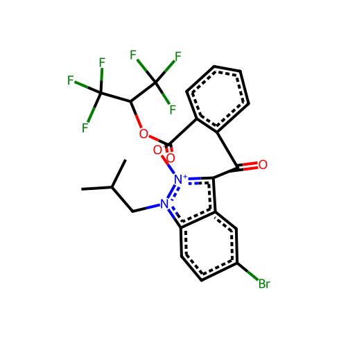 CC(C)Cn1c2ccc(Br)cc2c(C(=O)c2ccccc2C(=O)OC(C(F)(F)F)C(F)(F)F)[n+]1[O-]